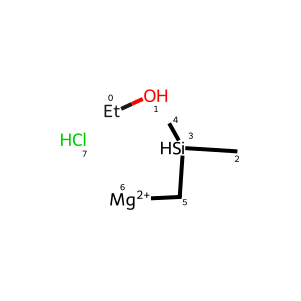 CCO.C[SiH](C)[CH2][Mg+2].Cl